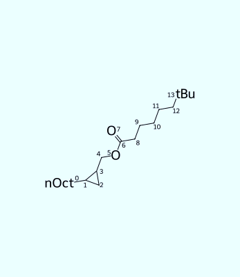 CCCCCCCCC1CC1COC(=O)CCCCCC(C)(C)C